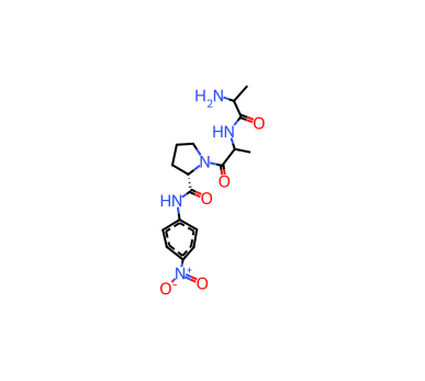 CC(N)C(=O)NC(C)C(=O)N1CCC[C@H]1C(=O)Nc1ccc([N+](=O)[O-])cc1